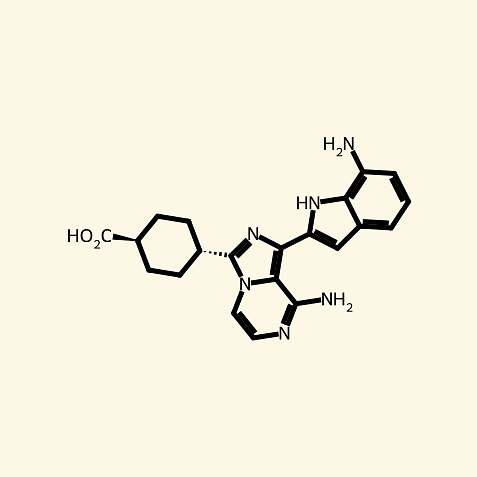 Nc1cccc2cc(-c3nc([C@H]4CC[C@H](C(=O)O)CC4)n4ccnc(N)c34)[nH]c12